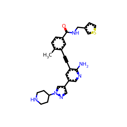 Cc1ccc(C(=O)NCc2ccsc2)cc1C#Cc1cc(-c2cnn(C3CCNCC3)c2)cnc1N